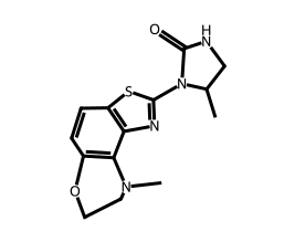 CC1CNC(=O)N1c1nc2c3c(ccc2s1)OCCN3C